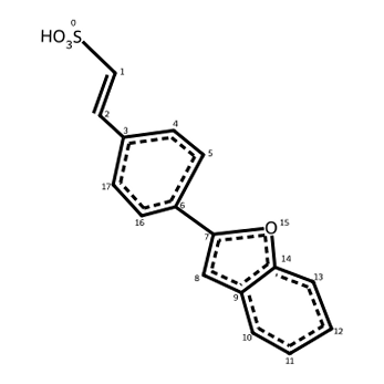 O=S(=O)(O)C=Cc1ccc(-c2cc3ccccc3o2)cc1